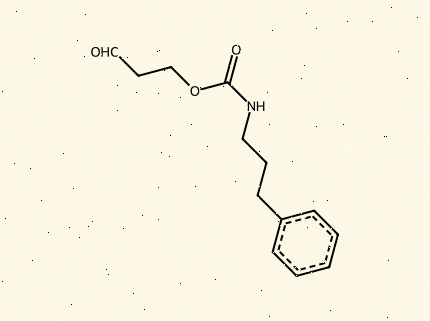 O=CCCOC(=O)NCCCc1ccccc1